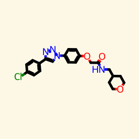 O=C(COc1ccc(-n2cc(-c3ccc(Cl)cc3)nn2)cc1)NCC1CCOCC1